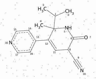 CC(C)C1(C)NC(=O)C(C#N)C=C1c1ccncc1